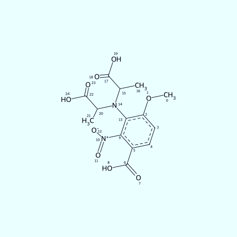 COc1ccc(C(=O)O)c([N+](=O)[O-])c1N(C(C)C(=O)O)C(C)C(=O)O